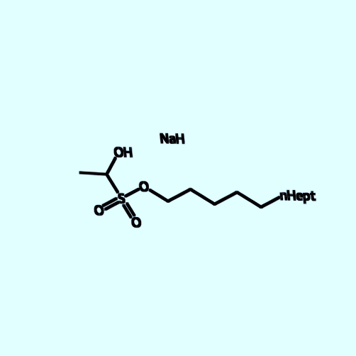 CCCCCCCCCCCCOS(=O)(=O)C(C)O.[NaH]